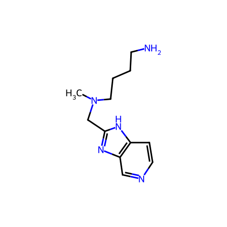 CN(CCCCN)Cc1nc2cnccc2[nH]1